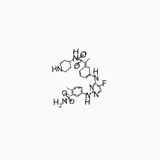 CC(=C1C=CC=C(Nc2nc(Nc3ccc(C)c(S(N)(=O)=O)c3)ncc2F)C1)S(=O)(=O)NC1CCNCC1